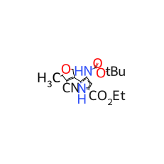 CCOC(=O)c1cc(NC(=O)OC(C)(C)C)c(C2=C(C#N)C(C)OC2)[nH]1